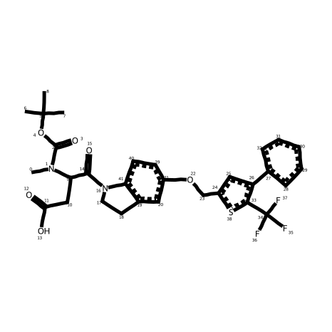 CN(C(=O)OC(C)(C)C)C(CC(=O)O)C(=O)N1CCc2cc(OCc3cc(-c4ccccc4)c(C(F)(F)F)s3)ccc21